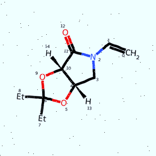 C=CN1C[C@@H]2OC(CC)(CC)O[C@@H]2C1=O